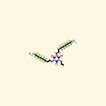 C=CCn1c(=O)n(C/C=C/C(F)(F)C(F)(F)C(F)(F)C(F)(F)C(F)(F)C(F)(F)F)c(=O)n(C/C=C/C(F)(F)C(F)(F)C(F)(F)C(F)(F)C(F)(F)C(F)(F)F)c1=O